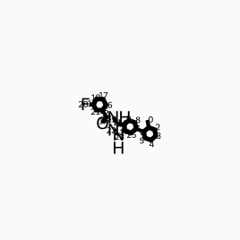 Cc1ccccc1-c1ccc2c(NC(=O)c3cccc(F)c3)n[nH]c2c1